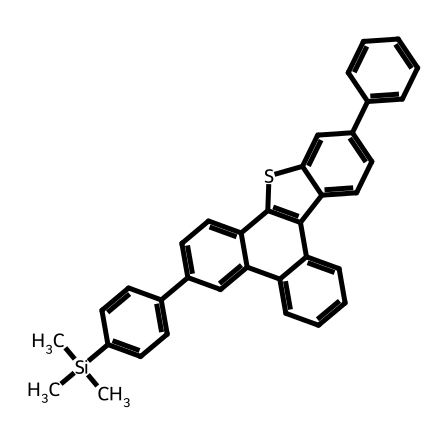 C[Si](C)(C)c1ccc(-c2ccc3c(c2)c2ccccc2c2c4ccc(-c5ccccc5)cc4sc32)cc1